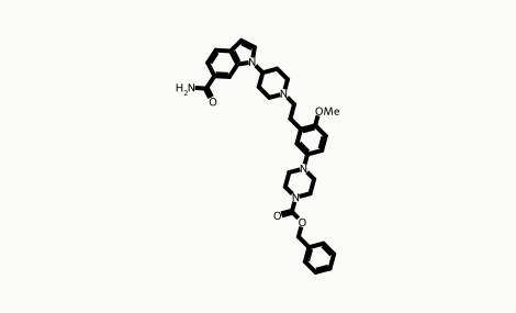 COc1ccc(N2CCN(C(=O)OCc3ccccc3)CC2)cc1CCN1CCC(n2ccc3ccc(C(N)=O)cc32)CC1